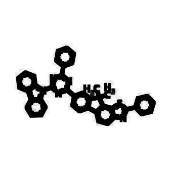 CC1(C)c2cc(-c3nc(-c4ccccc4)nc(-n4c5ccccc5c5ccccc54)n3)ccc2-c2ccc3nc(-c4ccccc4)sc3c21